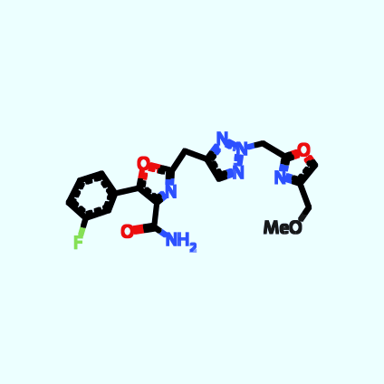 COCc1coc(Cn2ncc(Cc3nc(C(N)=O)c(-c4cccc(F)c4)o3)n2)n1